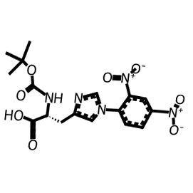 CC(C)(C)OC(=O)N[C@H](Cc1cn(-c2ccc([N+](=O)[O-])cc2[N+](=O)[O-])cn1)C(=O)O